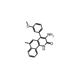 COc1cccc(-c2c(N)c(=O)[nH]c3c2cc(C)c2ccccc23)c1